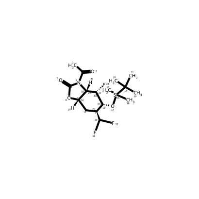 CC(=O)N1C(=O)O[C@H]2C[C@H](C(F)F)[C@@H](O[Si](C)(C)C(C)(C)C)[C@@H](F)[C@H]21